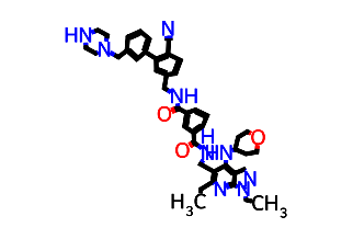 CCc1nc2c(cnn2CC)c(NC2CCOCC2)c1CNC(=O)c1cccc(C(=O)NCc2ccc(C#N)c(-c3cccc(CN4CCNCC4)c3)c2)c1